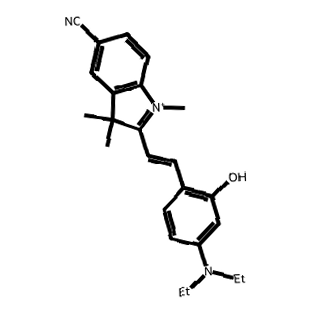 CCN(CC)c1ccc(/C=C/C2=[N+](C)c3ccc(C#N)cc3C2(C)C)c(O)c1